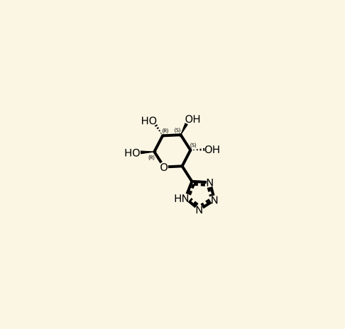 O[C@@H]1[C@@H](O)[C@H](O)C(c2nnn[nH]2)O[C@H]1O